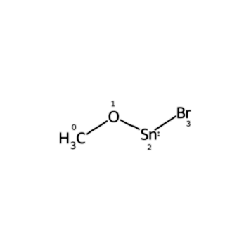 C[O][Sn][Br]